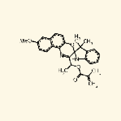 C=C(C)C(=O)OC(C)C1=Nc2c(ccc3cc(OC)ccc23)OC12Nc1ccccc1C2(C)C